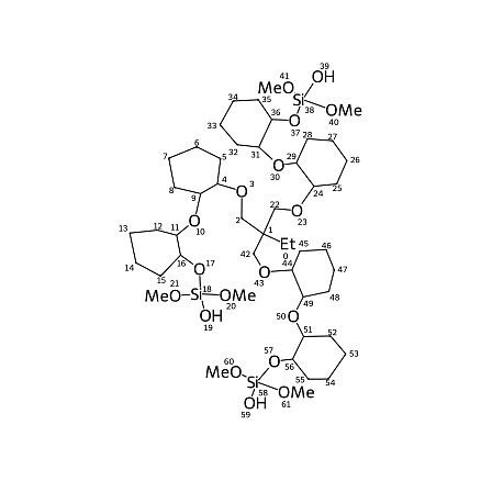 CCC(COC1CCCCC1OC1CCCCC1O[Si](O)(OC)OC)(COC1CCCCC1OC1CCCCC1O[Si](O)(OC)OC)COC1CCCCC1OC1CCCCC1O[Si](O)(OC)OC